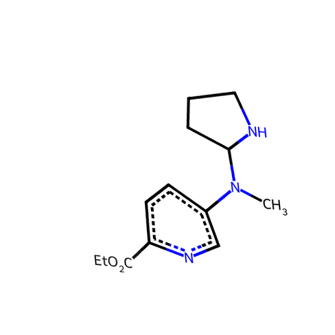 CCOC(=O)c1ccc(N(C)C2CCCN2)cn1